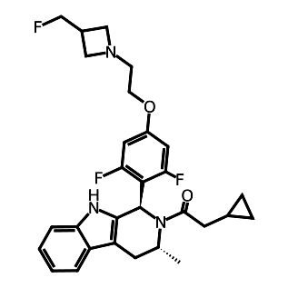 C[C@@H]1Cc2c([nH]c3ccccc23)[C@@H](c2c(F)cc(OCCN3CC(CF)C3)cc2F)N1C(=O)CC1CC1